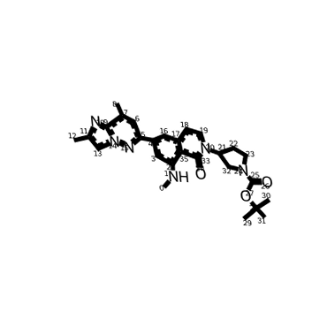 CNc1cc(-c2cc(C)c3nc(C)cn3n2)cc2ccn(C3CCN(C(=O)OC(C)(C)C)C3)c(=O)c12